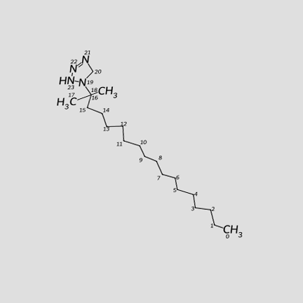 CCCCCCCCCCCCCCCCC(C)(C)N1CN=NN1